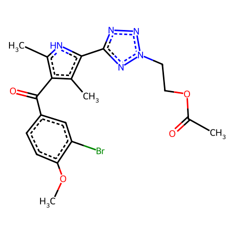 COc1ccc(C(=O)c2c(C)[nH]c(-c3nnn(CCOC(C)=O)n3)c2C)cc1Br